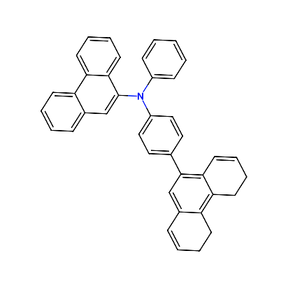 C1=Cc2cc(-c3ccc(N(c4ccccc4)c4cc5ccccc5c5ccccc45)cc3)c3c(c2CC1)CCC=C3